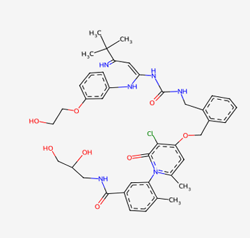 Cc1ccc(C(=O)NCC(O)CO)cc1-n1c(C)cc(OCc2ccccc2CNC(=O)N/C(=C/C(=N)C(C)(C)C)Nc2cccc(OCCO)c2)c(Cl)c1=O